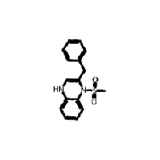 CS(=O)(=O)N1C(Cc2ccccc2)=CNc2ccccc21